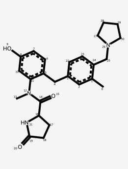 Cc1cc(Cc2[c]cc(O)cc2N(C)C(=O)C2CCC(=O)N2)ccc1CN1CCCC1